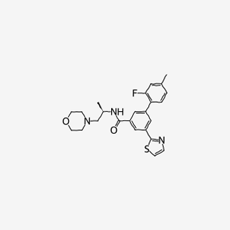 Cc1ccc(-c2cc(C(=O)N[C@H](C)CN3CCOCC3)cc(-c3nccs3)c2)c(F)c1